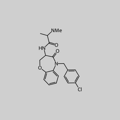 CNC(C)C(=O)NC1COc2ccccc2N(Cc2ccc(Cl)cc2)C1=O